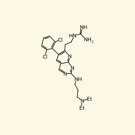 CCN(CC)CCCNc1ncc2cc(-c3c(Cl)cccc3Cl)c(CCNC(=N)N)nc2n1